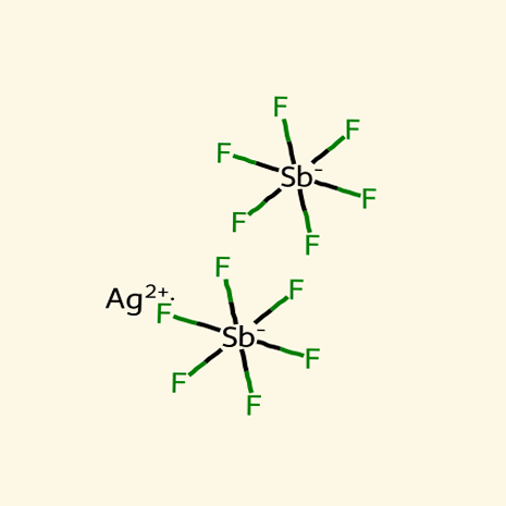 [Ag+2].[F][Sb-]([F])([F])([F])([F])[F].[F][Sb-]([F])([F])([F])([F])[F]